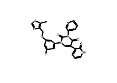 Cc1scnc1COc1cc(Cl)cc(-n2cc(-c3ccc[nH]c3=O)c(=O)n(-c3cccnc3)c2=O)c1